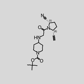 C#C[C@H]1CC[C@@H](C#N)N1C(=O)CNC1CCN(C(=O)OC(C)(C)C)CC1